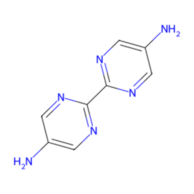 Nc1cnc(-c2ncc(N)cn2)nc1